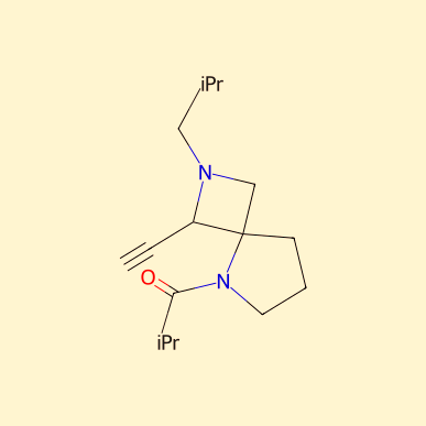 C#CC1N(CC(C)C)CC12CCCN2C(=O)C(C)C